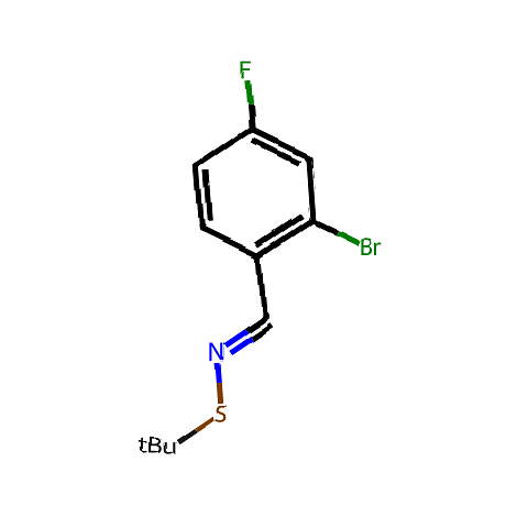 CC(C)(C)S/N=C/c1ccc(F)cc1Br